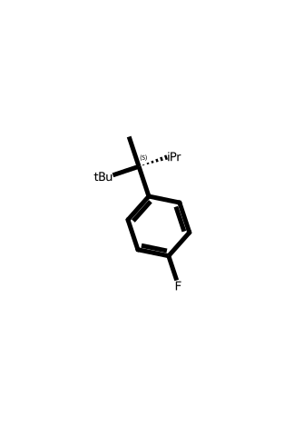 CC(C)[C@](C)(c1ccc(F)cc1)C(C)(C)C